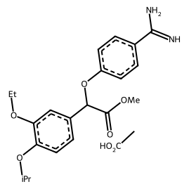 CC(=O)O.CCOc1cc(C(Oc2ccc(C(=N)N)cc2)C(=O)OC)ccc1OC(C)C